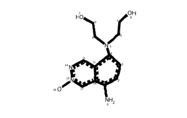 Nc1ccc(N(CCO)CCO)c2cn[n+]([O-])cc12